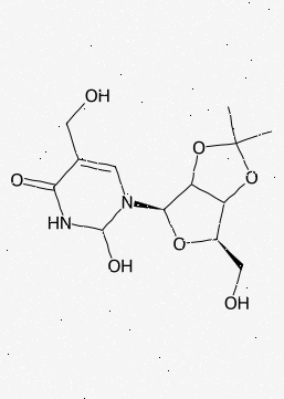 CC1(C)OC2C(O1)[C@@H](CO)O[C@H]2N1C=C(CO)C(=O)NC1O